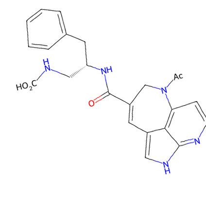 CC(=O)N1CC(C(=O)N[C@H](CNC(=O)O)Cc2ccccc2)=Cc2c[nH]c3nccc1c23